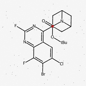 CC(C)(C)OC(=O)N1C2CC1CN(c1nc(F)nc3c(F)c(Br)c(Cl)cc13)C2